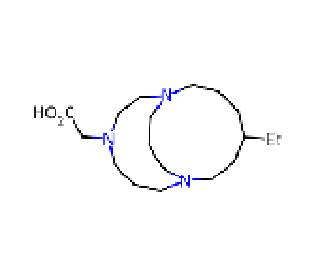 CCC1CCCN2CCCN(CCCN(CC(=O)O)CC2)CC1